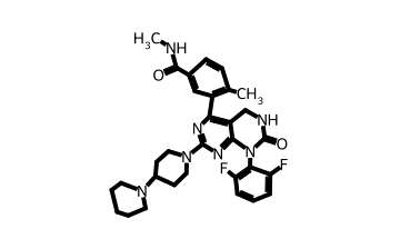 CNC(=O)c1ccc(C)c(-c2nc(N3CCC(N4CCCCC4)CC3)nc3c2CNC(=O)N3c2c(F)cccc2F)c1